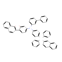 c1ccc(-c2cccc(N(c3ccc([Si](c4ccccc4)(c4ccccc4)c4ccc5ccccc5c4)cc3)c3ccc4c(c3)oc3c5ccccc5ccc43)c2)cc1